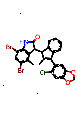 CC1=C(c2cc3c(cc2Cl)OCO3)c2ccccc2C1C1C(=O)Nc2c(Br)cc(Br)c(C)c21